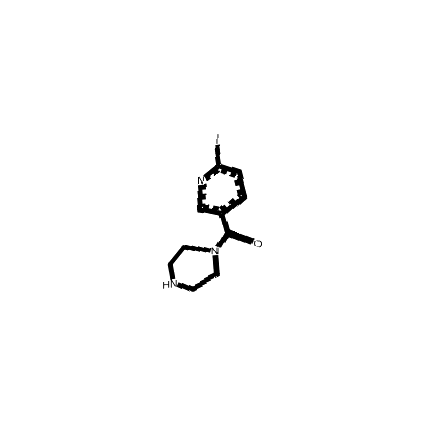 O=C(c1ccc(I)nc1)N1CCNCC1